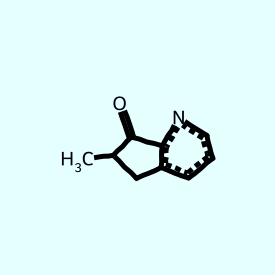 CC1Cc2cccnc2C1=O